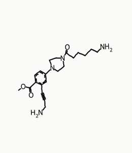 COC(=O)c1ccc(N2CCN(C(=O)CCCCCN)CC2)cc1C#CCN